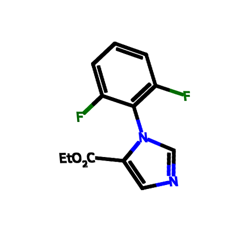 CCOC(=O)c1cncn1-c1c(F)cccc1F